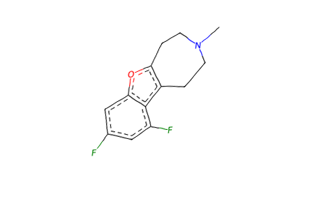 CN1CCc2oc3cc(F)cc(F)c3c2CC1